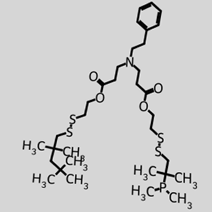 CP(C)C(C)(C)CSSCCOC(=O)CCN(CCC(=O)OCCSSCC(C)(C)CC(C)(C)C)CCc1ccccc1